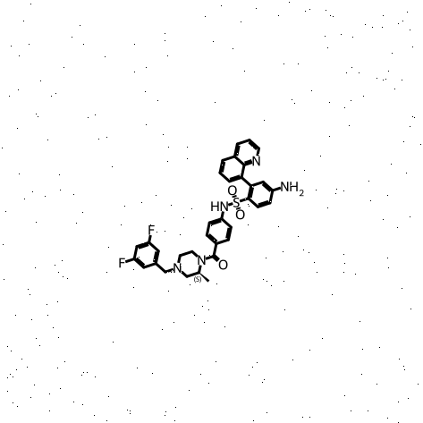 C[C@H]1CN(Cc2cc(F)cc(F)c2)CCN1C(=O)c1ccc(NS(=O)(=O)c2ccc(N)cc2-c2cccc3cccnc23)cc1